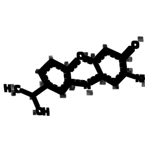 CC(O)c1ccc2oc3cc(=O)c(N)cc-3nc2c1